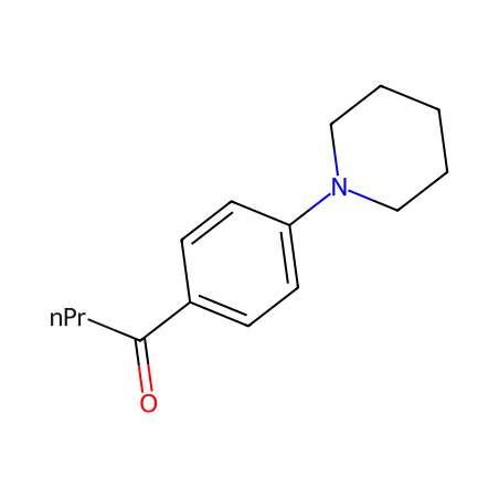 CCCC(=O)c1ccc(N2CCCCC2)cc1